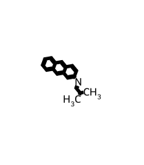 CC(C)C=Nc1ccc2cc3ccccc3cc2c1